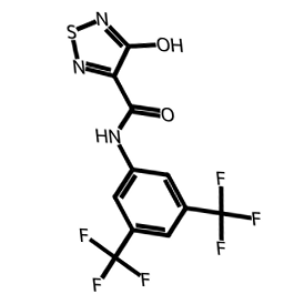 O=C(Nc1cc(C(F)(F)F)cc(C(F)(F)F)c1)c1nsnc1O